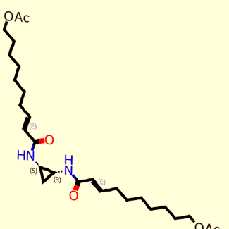 CC(=O)OCCCCCCC/C=C/C(=O)N[C@H]1C[C@H]1NC(=O)/C=C/CCCCCCCOC(C)=O